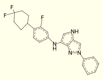 Fc1cc(Nc2c[nH]c3cn(-c4ccccc4)nc23)ccc1C1CCC(F)(F)CC1